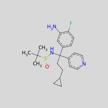 CC(C)(C)[S@@+]([O-])NC(CCC1CC1)(c1ccncc1)c1ccc(F)c(N)c1